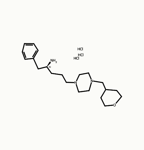 Cl.Cl.Cl.N[C@@H](CCCN1CCN(CC2CCOCC2)CC1)Cc1ccccc1